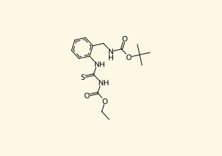 CCOC(=O)NC(=S)Nc1ccccc1CNC(=O)OC(C)(C)C